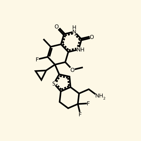 COC1c2[nH]c(=O)[nH]c(=O)c2C(C)=C(F)C1(c1cc2c(s1)CCC(F)(F)C2CN)C1CC1